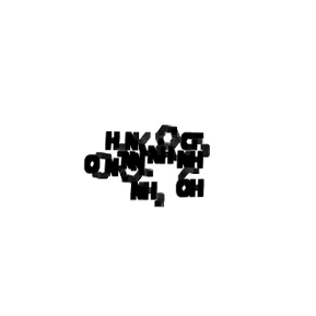 C=C1C(N)=CC(N2CCOCC2)=NN1/C(Nc1cccc(C(F)(F)F)c1CNC(C)CO)=C(/C)N